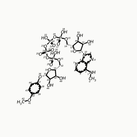 CNc1ccnc2c1ncn2[C@@H]1O[C@H](COP(=O)(O)OP(=O)(O)OP(=O)(O)OP(=O)(O)OC[C@H]2O[C@@H](Oc3ccc(OC)cc3)[C@H](O)[C@@H]2O)[C@@H](O)[C@H]1O